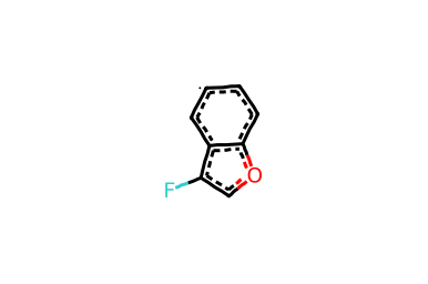 Fc1coc2cc[c]cc12